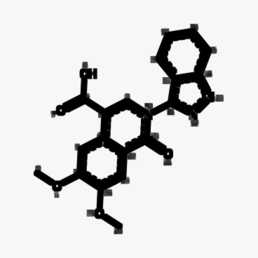 COc1cc2c(C(=O)O)cn(-c3nsc4ccccc34)c(=O)c2cc1OC